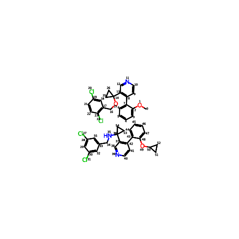 COc1ccccc1-c1ccncc1C1(OCc2cc(Cl)ccc2Cl)CC1.Clc1cc(Cl)cc(CNC2(c3cnccc3-c3ccccc3OC3CC3)CC2)c1